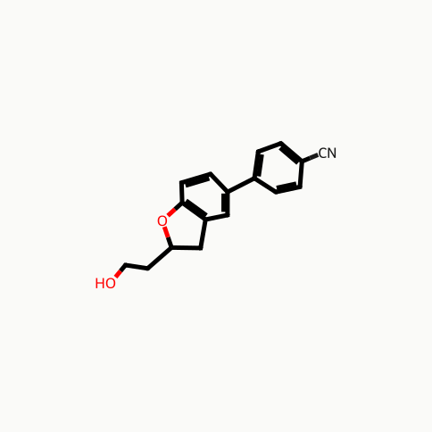 N#Cc1ccc(-c2ccc3c(c2)CC(CCO)O3)cc1